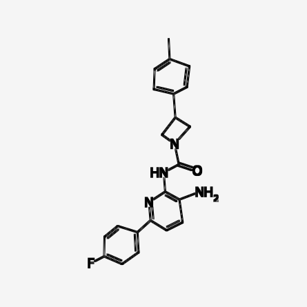 Cc1ccc(C2CN(C(=O)Nc3nc(-c4ccc(F)cc4)ccc3N)C2)cc1